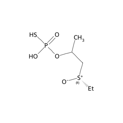 CC[S@+]([O-])CC(C)OP(=O)(O)S